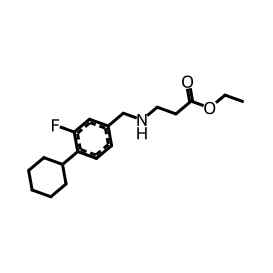 CCOC(=O)CCNCc1ccc(C2CCCCC2)c(F)c1